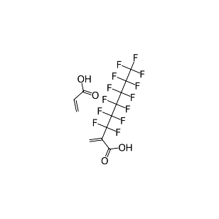 C=C(C(=O)O)C(F)(F)C(F)(F)C(F)(F)C(F)(F)C(F)(F)C(F)(F)F.C=CC(=O)O